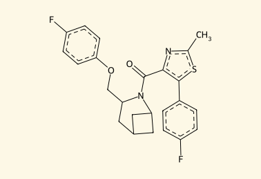 Cc1nc(C(=O)N2C(COc3ccc(F)cc3)CC3CC2C3)c(-c2ccc(F)cc2)s1